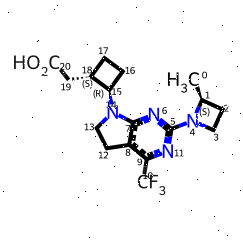 C[C@H]1CCN1c1nc2c(c(C(F)(F)F)n1)CCN2[C@@H]1CC[C@H]1CC(=O)O